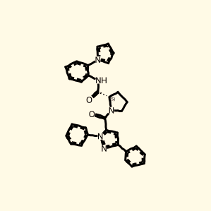 O=C(Nc1ccccc1-n1cccc1)[C@@H]1CCCN1C(=O)c1cc(-c2ccccc2)nn1-c1ccccc1